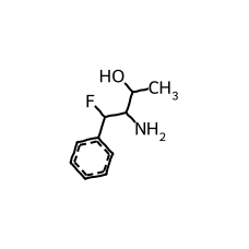 CC(O)C(N)C(F)c1ccccc1